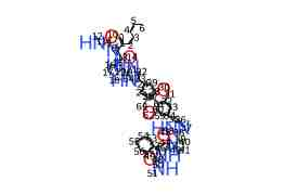 C=C(/C=C\C=C/C)[C@@H](NC(=O)NC)C(=O)N1CCC[C@H]1c1ncc(-c2cc3c4c(c2)OCc2cc(-c5cnc([C@@H]6CCCN6C(=O)[C@H](NC(=O)NC)c6ccccc6)[nH]5)cc(c2-4)OC3)[nH]1